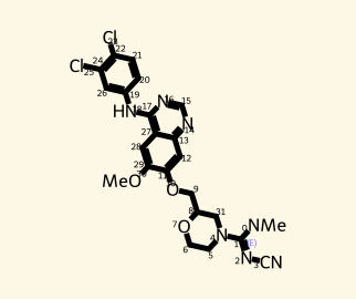 CN/C(=N\C#N)N1CCOC(COc2cc3ncnc(Nc4ccc(Cl)c(Cl)c4)c3cc2OC)C1